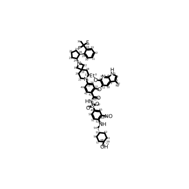 CCOc1nc2[nH]cc(F)c2cc1Oc1cc(N2CCC3(CC2)CN([C@H]2CCC[C@H]2c2ccccc2C(C)(F)F)C3)ccc1C(=O)NS(=O)(=O)c1ccc(NC[C@H]2CC[C@](C)(O)CC2)c(N=O)c1